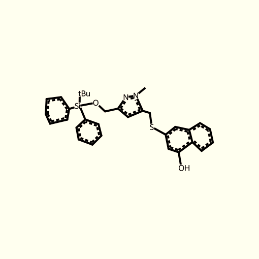 Cn1nc(CO[Si](c2ccccc2)(c2ccccc2)C(C)(C)C)cc1CSc1cc(O)c2ccccc2c1